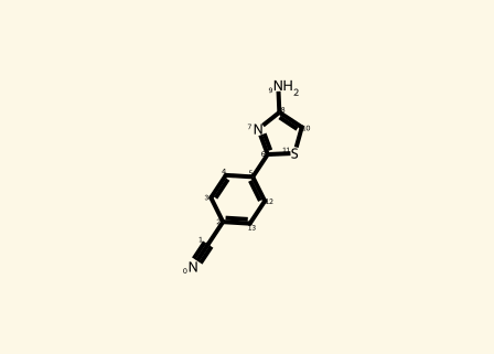 N#Cc1ccc(-c2nc(N)cs2)cc1